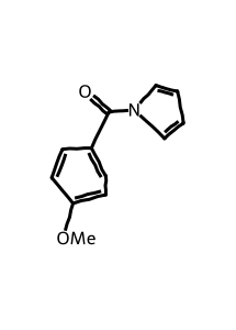 COc1ccc(C(=O)n2cccc2)cc1